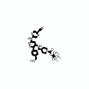 CC(C)(C)OC(=O)N1CCC(CNc2cc(Nc3cnc(C#N)cn3)nnc2-c2ccc(CO)cc2)CC1